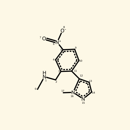 CNCc1cc([N+](=O)[O-])ccc1-c1ccnn1C